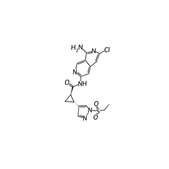 CCS(=O)(=O)n1cc([C@@H]2C[C@H]2C(=O)Nc2cc3cc(Cl)nc(N)c3cn2)cn1